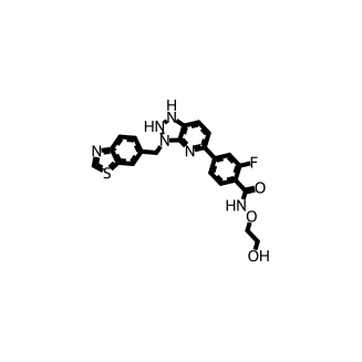 O=C(NOCCO)c1ccc(-c2ccc3c(n2)N(Cc2ccc4ncsc4c2)NN3)cc1F